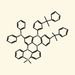 CC(C)(c1ccccc1)c1cccc(N2c3cc(C(C)(C)c4ccccc4)ccc3B3c4cccc5c4N(c4ccccc4[Si]5(C)C)c4cc(N(c5ccccc5)c5ccccc5)cc2c43)c1